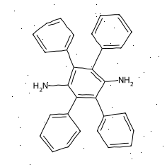 Nc1c(-c2ccccc2)c(-c2ccccc2)c(N)c(-c2ccccc2)c1-c1ccccc1